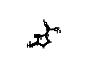 N=C1CSC(C(=O)C(F)(F)F)N1